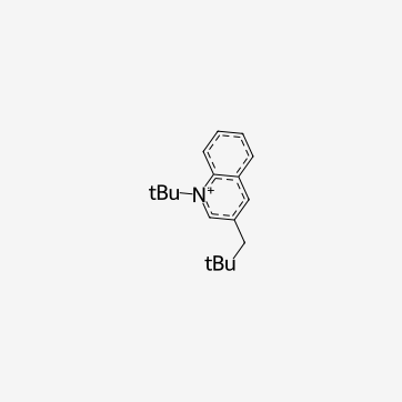 CC(C)(C)Cc1cc2ccccc2[n+](C(C)(C)C)c1